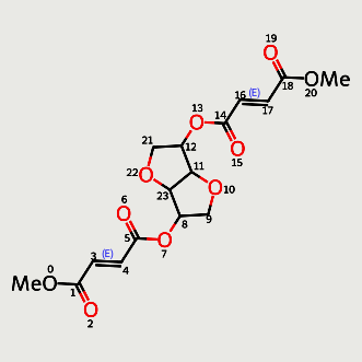 COC(=O)/C=C/C(=O)OC1COC2C(OC(=O)/C=C/C(=O)OC)COC12